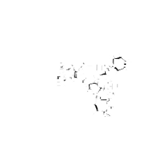 CCOP(=O)(O)OP(=O)(O)OC[C@H]1O[C@@H](n2ccc(=O)[nH]c2=O)C(O)[C@H]1OC(=O)Nc1ccccc1